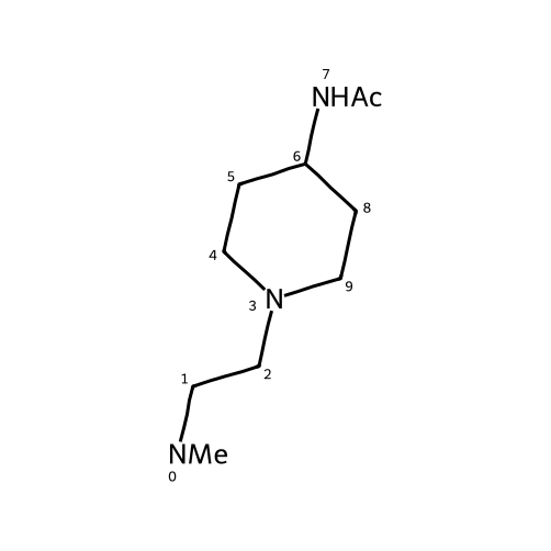 [CH2-][NH2+]CCN1CCC(NC(C)=O)CC1